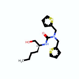 CCCC[C@@H](CO)NC(=O)N(Cc1cccs1)Cc1cccs1